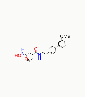 COc1cccc(-c2ccc(CCNC(=O)C(CC(=O)NO)CC(C)C)cc2)c1